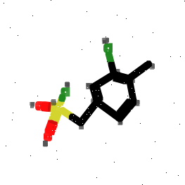 Cc1ccc(CS(=O)(=O)Cl)cc1Cl